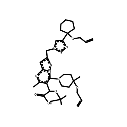 C=CCOC1(C)CCN(c2c(C(OC(C)(C)C)C(=O)O)c(C)nc3cc(Cn4cc(C5(OCC=C)CCCCC5)nn4)nn23)CC1